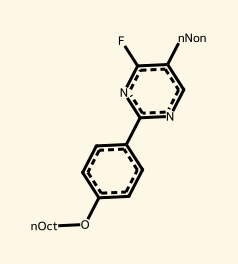 CCCCCCCCCc1cnc(-c2ccc(OCCCCCCCC)cc2)nc1F